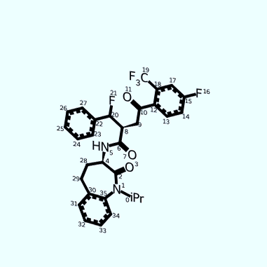 CC(C)N1C(=O)[C@H](NC(=O)[C@H](CC(=O)c2ccc(F)cc2C(F)(F)F)C(F)c2ccccc2)CCc2ccccc21